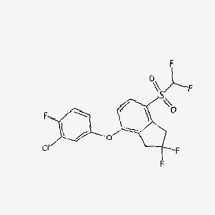 O=S(=O)(c1ccc(Oc2ccc(F)c(Cl)c2)c2c1CC(F)(F)C2)C(F)F